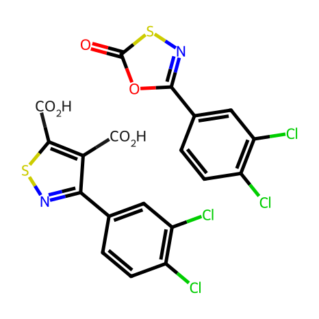 O=C(O)c1snc(-c2ccc(Cl)c(Cl)c2)c1C(=O)O.O=c1oc(-c2ccc(Cl)c(Cl)c2)ns1